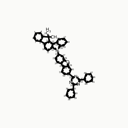 CC1(C)c2ccccc2-c2ccc3c(c21)c1ccccc1n3-c1ccc2c(c1)oc1cc(-c3nc(-c4ccccc4)nc(-c4ccccc4)n3)ccc12